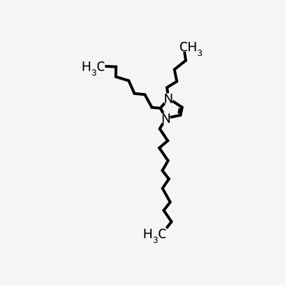 CCCCCCCCCCCN1C=CN(CCCCC)C1CCCCCCC